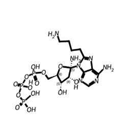 NCCCCc1nc2c(N)ncnc2n1[C@]1(N)O[C@H](COP(=O)(O)OP(=O)(O)OP(=O)(O)O)[C@@H](O)[C@H]1O